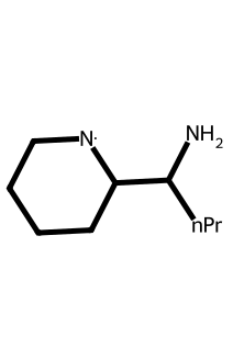 CCCC(N)C1CCCC[N]1